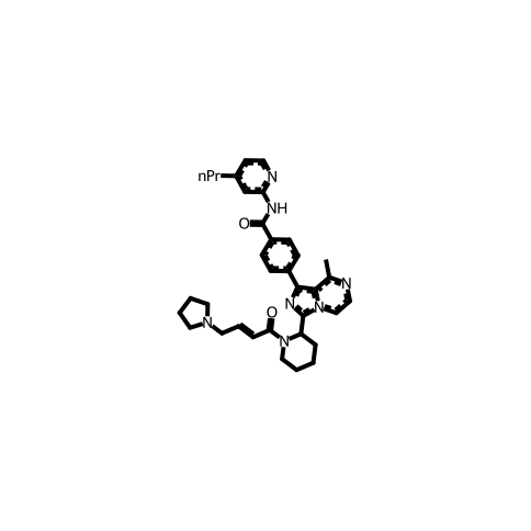 CCCc1ccnc(NC(=O)c2ccc(-c3nc(C4CCCCN4C(=O)C=CCN4CCCC4)n4ccnc(C)c34)cc2)c1